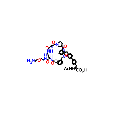 CC(=O)N[C@@H](Cc1ccc(-c2ccc(C[C@@H]3NC(=O)[C@]4(Cc5ccccc5)CCCN(C4)C(=O)/C=C/C(=O)NCC[C@@H](C(=O)NCCOCCN)NC(=O)Cc4ccccc4CNC3=O)cc2)cc1)C(=O)O